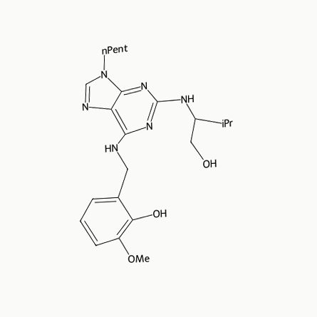 CCCCCn1cnc2c(NCc3cccc(OC)c3O)nc(NC(CO)C(C)C)nc21